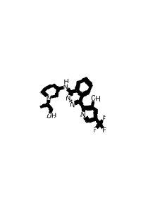 CC(CO)N1CCCC(Nc2nnc(-c3ncc(C(F)(F)F)cc3O)c3ccccc23)C1